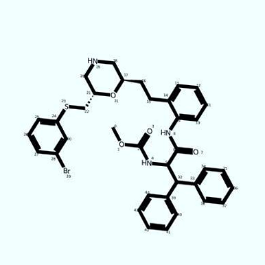 COC(=O)NC(C(=O)Nc1ccccc1CC[C@@H]1CNC[C@@H](CSc2cccc(Br)c2)O1)C(c1ccccc1)c1ccccc1